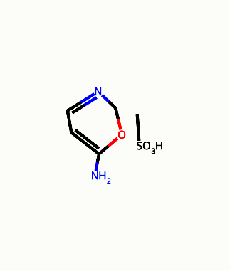 CS(=O)(=O)O.NC1=CC=NCO1